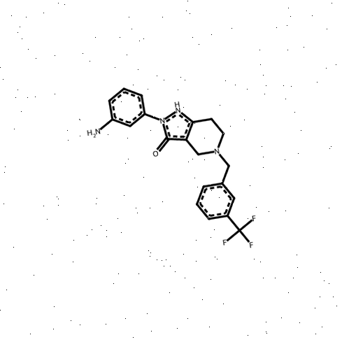 Nc1cccc(-n2[nH]c3c(c2=O)CN(Cc2cccc(C(F)(F)F)c2)CC3)c1